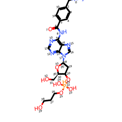 NCc1ccc(C(=O)Nc2ncnc3c2ncn3[C@H]2CC(O[PH](O)(O)OCCCO)[C@@H](CO)O2)cc1